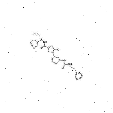 O=C(O)CC(NC(=O)C1CC(=O)N(c2cccc(NC(=O)NCCc3ccccc3)c2)C1)c1cccnc1